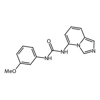 COc1cccc(NC(=O)Nc2cccc3cncn23)c1